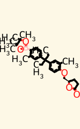 CCC(CC)(c1ccc(OC[C@H]2CCC(=O)O2)c(C)c1)c1ccc(B2OC(C)(C)C(C)(C)O2)c(C)c1